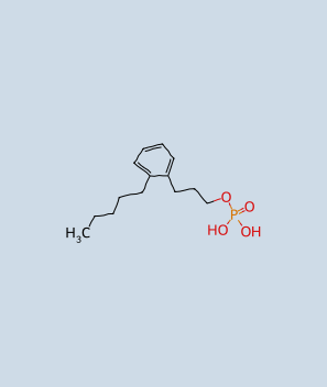 CCCCCc1ccccc1CCCOP(=O)(O)O